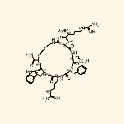 CC(=O)N[C@@H](CCCNC(=N)N)C(=O)N[C@H]1CC(=O)NCCCCC(C(N)=O)NC(=O)[C@H](Cc2c[nH]c3ccccc23)NC(=O)[C@H](CCCNC(=N)N)NC(=O)[C@@H](Cc2ccccc2)NC(=O)[C@@H](CC(=O)O)NC1=O